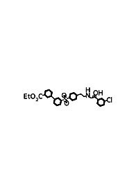 CCOC(=O)c1cccc(-c2cccc(S(=O)(=O)c3ccc(CCNC[C@H](O)c4cccc(Cl)c4)cc3)c2)c1